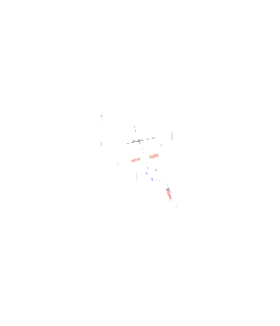 CCC(C)(C)S(=O)(=O)NC=O